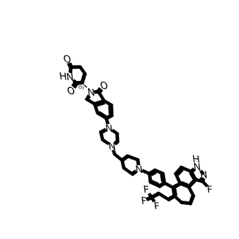 O=C1CC[C@H](N2Cc3cc(N4CCN(CC5CCN(c6ccc(C7=C(CCC(F)(F)F)CCCc8c7ccc7[nH]nc(F)c87)cc6)CC5)CC4)ccc3C2=O)C(=O)N1